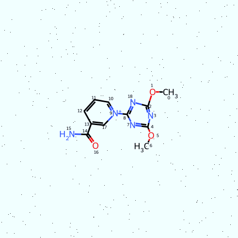 COc1nc(OC)nc(-[n+]2cccc(C(N)=O)c2)n1